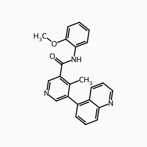 COc1ccccc1NC(=O)c1cncc(-c2cccc3ncccc23)c1C